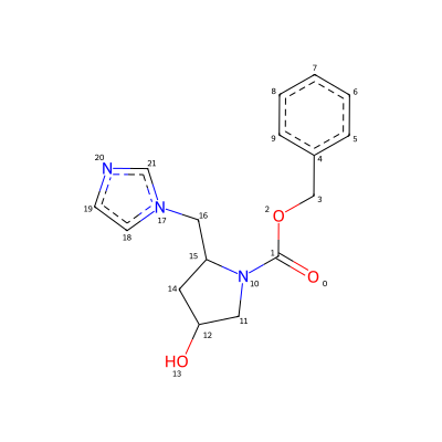 O=C(OCc1ccccc1)N1CC(O)CC1Cn1ccnc1